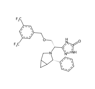 O=c1[nH]nc([C@@H](COCc2cc(C(F)(F)F)cc(C(F)(F)F)c2)N2CC3CC3[C@H]2c2ccccc2)[nH]1